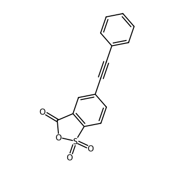 O=C1OS(=O)(=O)c2ccc(C#Cc3ccccc3)cc21